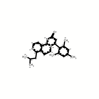 Cc1cc(C)c(-c2cc(=O)nc3c4ccnc(CC(C)C)c4ccn23)c(C)c1